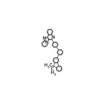 CC1(C)c2ccccc2-c2cc(-c3cccc(-c4ccc(-c5nc6ccccc6c6nc7ccccn7c56)cc4)c3)ccc21